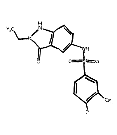 O=c1c2cc(NS(=O)(=O)c3ccc(F)c(C(F)(F)F)c3)ccc2[nH]n1CC(F)(F)F